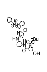 CC(C)(C)OC(=O)N1C[C@H](O)C[C@H]1C(=O)NC1CCC[C@@H](Nc2ncc(Cl)c(-c3cn(S(=O)(=O)c4ccccc4)c4ccccc34)n2)C1